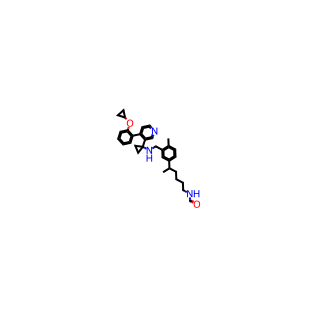 Cc1ccc(C(C)CCCCNC=O)cc1CNC1(c2cnccc2-c2ccccc2OC2CC2)CC1